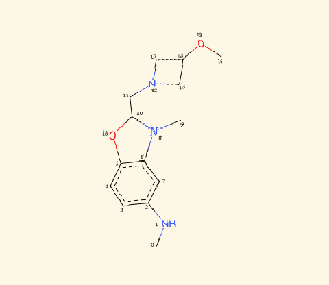 CNc1ccc2c(c1)N(C)C(CN1CC(OC)C1)O2